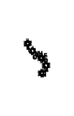 O=C(NC1CCN(Cc2ccccc2)CC1)c1ccc(OC2CCN(Cc3ccccn3)CC2)c(F)c1